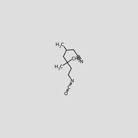 CC(CC#N)CC(C)(C)CCN=C=O